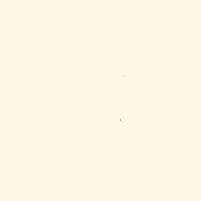 CC1=C(N)CC=CC1